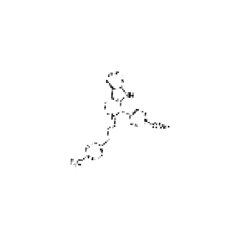 COc1ccc(C2c3[nH]c4ccccc4c3CCN2/C=C/Cc2ccc(C(F)(F)F)cc2)cc1